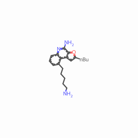 CCCCc1cc2c(o1)c(N)nc1cccc(CCCCCN)c12